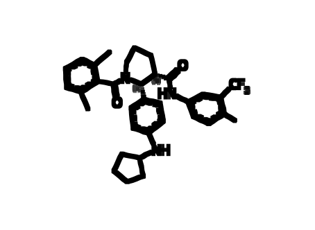 Cc1ccc(NC(=O)[C@H]2CCCN(C(=O)c3c(C)cccc3C)[C@H]2c2ccc(NC3CCCC3)cc2)cc1C(F)(F)F